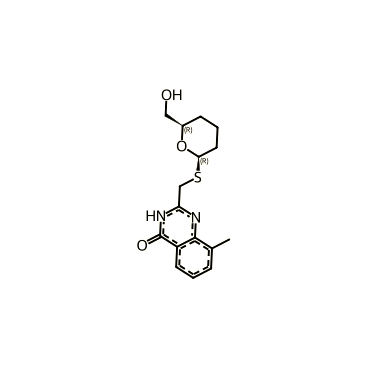 Cc1cccc2c(=O)[nH]c(CS[C@@H]3CCC[C@H](CO)O3)nc12